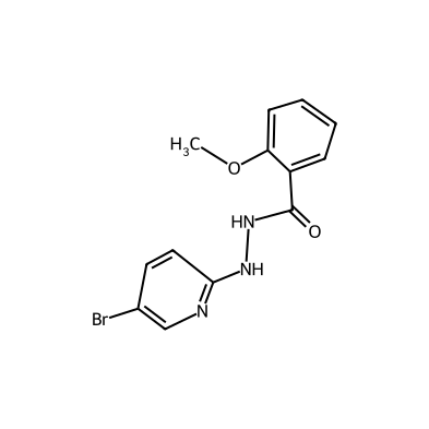 COc1ccccc1C(=O)NNc1ccc(Br)cn1